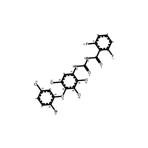 O=C(NC(=O)c1c(F)cccc1F)Nc1cc(Cl)c(Oc2cc(Cl)ccc2Br)c(Cl)c1Cl